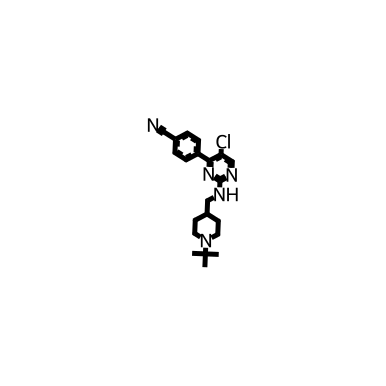 CC(C)(C)N1CCC(CNc2ncc(Cl)c(-c3ccc(C#N)cc3)n2)CC1